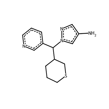 Nc1cnn(C(c2cccnc2)C2CCCSC2)c1